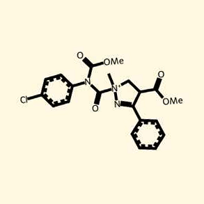 COC(=O)C1C[N+](C)(C(=O)N(C(=O)OC)c2ccc(Cl)cc2)N=C1c1ccccc1